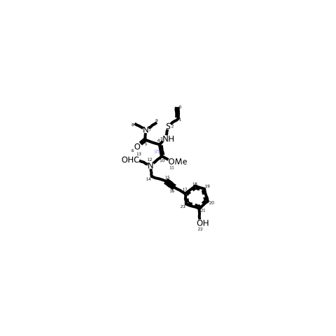 C=CSN/C(C(=O)N(C)C)=C(\OC)N(C=O)CC#Cc1cccc(O)c1